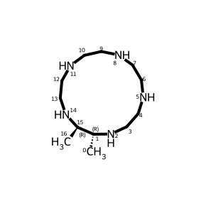 C[C@H]1NCCNCCNCCNCCN[C@@H]1C